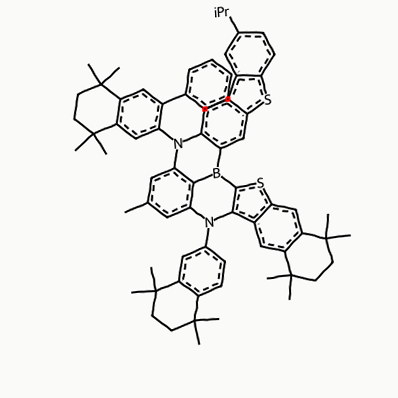 Cc1cc2c3c(c1)N(c1ccc4c(c1)C(C)(C)CCC4(C)C)c1c(sc4cc5c(cc14)C(C)(C)CCC5(C)C)B3c1cc3sc4ccc(C(C)C)cc4c3cc1N2c1cc2c(cc1-c1ccccc1)C(C)(C)CCC2(C)C